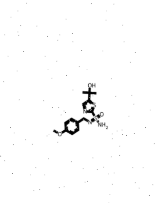 COc1ccc(CN=S(N)(=O)c2ncc(C(C)(C)O)s2)cc1